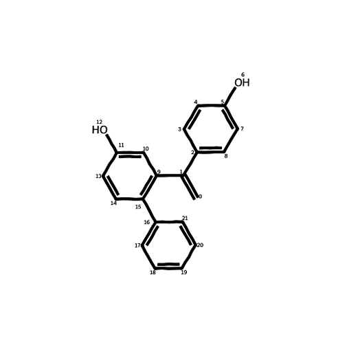 C=C(c1ccc(O)cc1)c1cc(O)ccc1-c1ccccc1